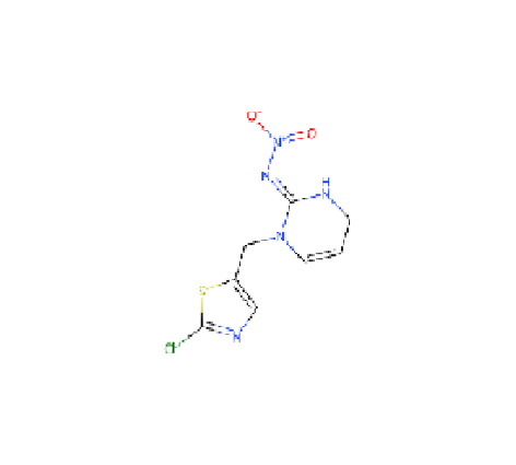 O=[N+]([O-])N=C1NCC=CN1Cc1cnc(Cl)s1